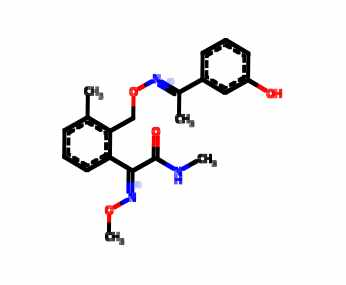 CNC(=O)/C(=N/OC)c1cccc(C)c1CO/N=C(\C)c1cccc(O)c1